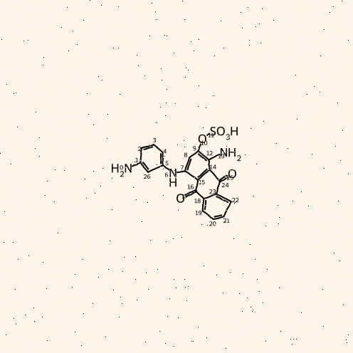 Nc1cccc(Nc2cc(OS(=O)(=O)O)c(N)c3c2C(=O)c2ccccc2C3=O)c1